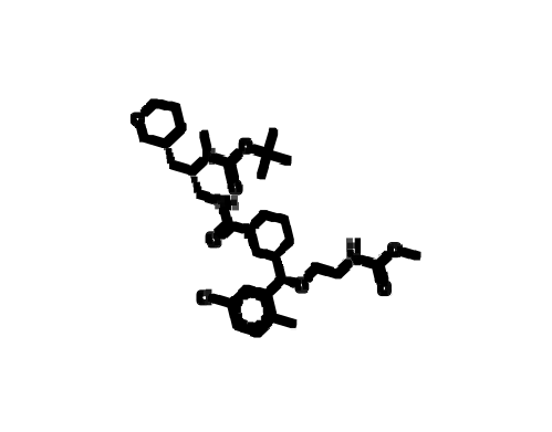 COC(=O)NCCO[C@@H](c1cc(Cl)ccc1C)[C@@H]1CCCN(C(=O)NC[C@H](C[C@H]2CCCOC2)N(C)C(=O)OC(C)(C)C)C1